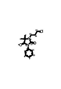 CC1(C)C(=O)N(c2ccccc2)C(=O)N1CCCCl